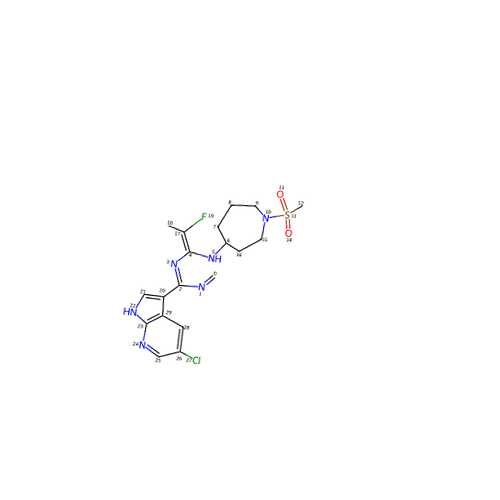 C=N/C(=N\C(NC1CCCN(S(C)(=O)=O)CC1)=C(/C)F)c1c[nH]c2ncc(Cl)cc12